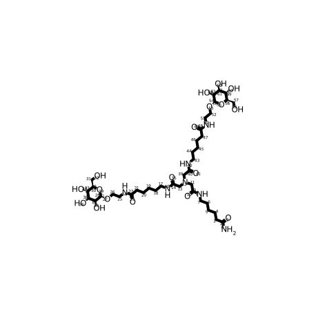 NC(=O)CCCCCNC(=O)CN(CC(=O)NCCCCCC(=O)NCCO[C@H]1O[C@H](CO)[C@@H](O)[C@H](O)[C@@H]1O)CC(=O)NCCCCCC(=O)NCCO[C@H]1O[C@H](CO)[C@@H](O)[C@H](O)[C@@H]1O